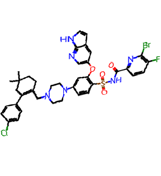 CC1(C)CCC(CN2CCN(c3ccc(S(=O)(=O)NC(=O)c4ccc(F)c(Br)n4)c(Oc4cnc5[nH]ccc5c4)c3)CC2)=C(c2ccc(Cl)cc2)C1